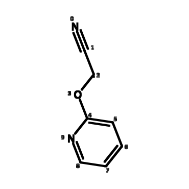 N#C[CH]Oc1ccccn1